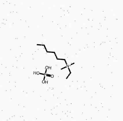 CCCCCC[N+](C)(C)CC.O=P(O)(O)O